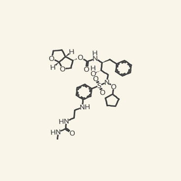 CNC(=O)NCCNc1cccc(S(=O)(=O)N(C[C@H](O)[C@H](Cc2ccccc2)NC(=O)O[C@@H]2CO[C@@H]3OCC[C@@H]32)OC2CCCC2)c1